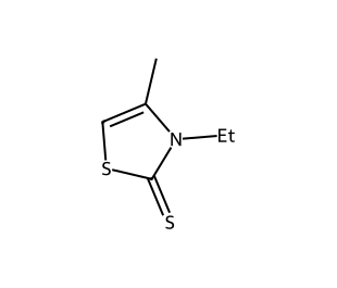 CCn1c(C)csc1=S